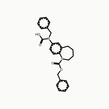 O=C(O)N(Cc1ccccc1)c1ccc2c(c1)CCCCN2C(=O)OCc1ccccc1